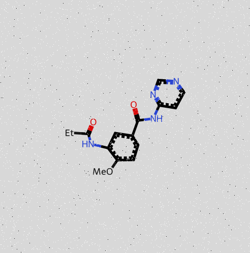 CCC(=O)Nc1cc(C(=O)Nc2ccncn2)ccc1OC